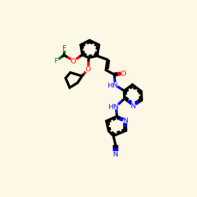 N#Cc1ccc(Nc2ncccc2NC(=O)/C=C/c2cccc(OC(F)F)c2OC2CCCC2)nc1